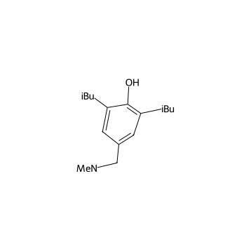 CCC(C)c1cc(CNC)cc(C(C)CC)c1O